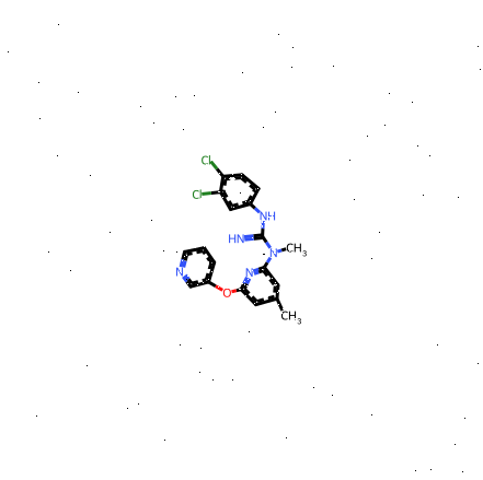 Cc1cc(Oc2cccnc2)nc(N(C)C(=N)Nc2ccc(Cl)c(Cl)c2)c1